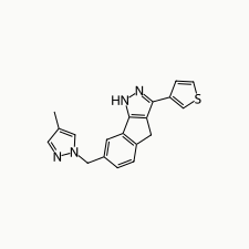 Cc1cnn(Cc2ccc3c(c2)-c2[nH]nc(-c4ccsc4)c2C3)c1